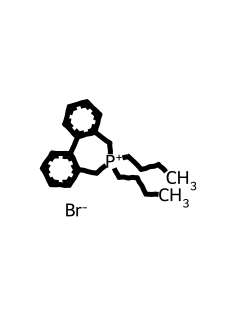 CCCC[P+]1(CCCC)Cc2ccccc2-c2ccccc2C1.[Br-]